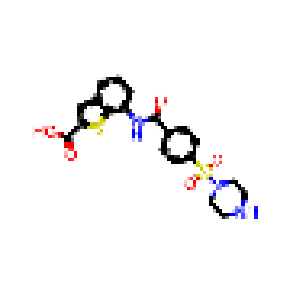 O=C(Nc1cccc2cc(C(=O)O)sc12)c1ccc(S(=O)(=O)N2CCNCC2)cc1